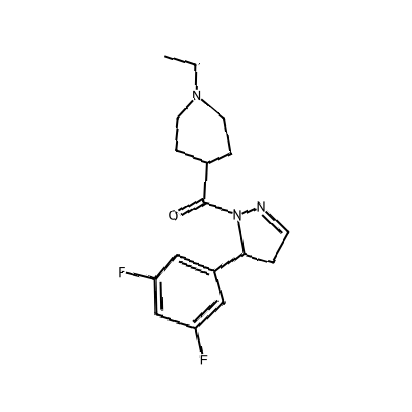 C[CH]N1CCC(C(=O)N2N=CCC2c2cc(F)cc(F)c2)CC1